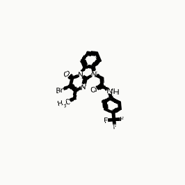 CCc1nc2n(CC(=O)Nc3ccc(C(F)(F)F)cc3)c3ccccc3n2c(=O)c1Br